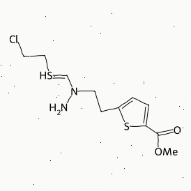 COC(=O)c1ccc(CCN(N)C=[SH]CCCl)s1